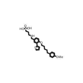 COc1ccc(CCCCCOc2ccc(CNCCCP(=O)(O)O)cc2-c2cccs2)cc1